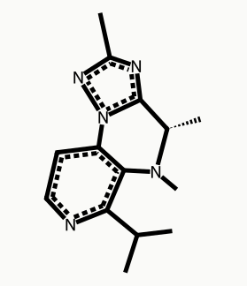 Cc1nc2n(n1)-c1ccnc(C(C)C)c1N(C)[C@H]2C